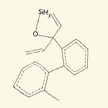 C=CC(C=C)(O[SiH3])c1ccccc1-c1ccccc1C